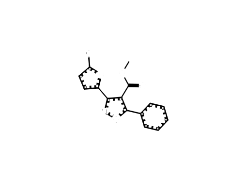 COC(=O)c1c(-c2ccc(Cl)o2)noc1-c1ccccc1